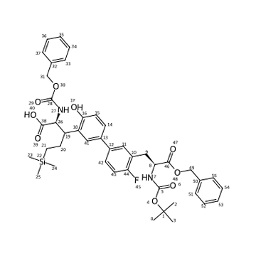 CC(C)(C)OC(=O)N[C@@H](Cc1cc(-c2ccc(O)c(C(CC[Si](C)(C)C)[C@H](NC(=O)OCc3ccccc3)C(=O)O)c2)ccc1F)C(=O)OCc1ccccc1